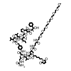 C=C(C)[C@@H](C(=O)N[C@@H](C(=O)N(C)[C@@H]([C@@H](C)CC)[C@@H](CC(=O)N1CCC[C@H]1[C@H](OC)[C@@H](C)C(=O)N[C@H](C)[C@@H](O)c1ccccc1)OC)C(C)C)N(C)C(=O)OCc1ccc(NC(=O)[C@@H](CCCNC(N)=O)NC(=O)[C@@H](NC(=O)C2C[C@@H](OC(=O)NCCC(=O)NCCOCCOCCOCCOCCOCCOCCOCCOC)CN2C(=O)CCCCCN2C(=O)C=CC2=O)C(C)C)cc1